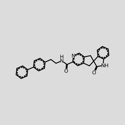 O=C(NCCc1ccc(-c2ccccc2)cc1)c1cc2c(cn1)CC1(C2)C(=O)Nc2ccccc21